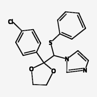 Clc1ccc(C2(C(Sc3ccccc3)n3ccnc3)OCCO2)cc1